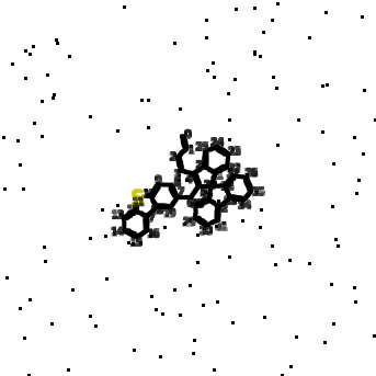 C=C/C=C\C1=C(Cc2ccc3sc4ccccc4c3c2)C2(c3ccccc31)c1ccccc1-c1ccccc12